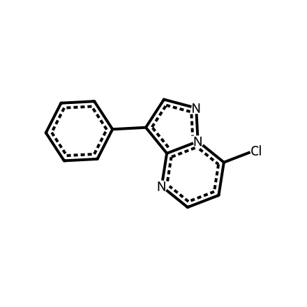 Clc1ccnc2c(-c3ccccc3)cnn12